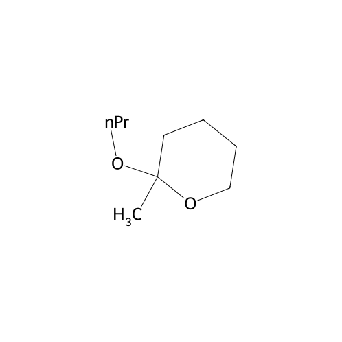 CCCOC1(C)CCCCO1